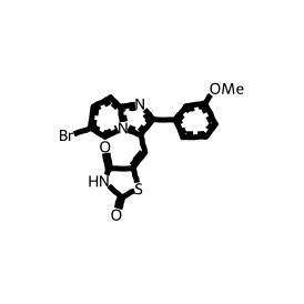 COc1cccc(-c2nc3ccc(Br)cn3c2C=C2SC(=O)NC2=O)c1